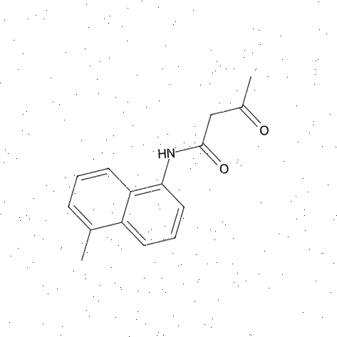 CC(=O)CC(=O)Nc1cccc2c(C)cccc12